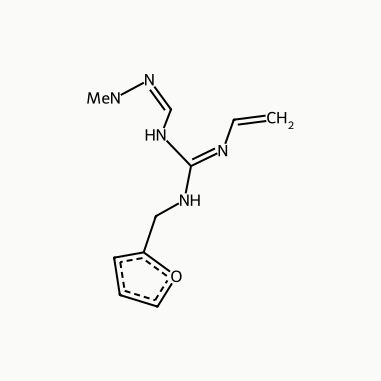 C=C/N=C(\N/C=N\NC)NCc1ccco1